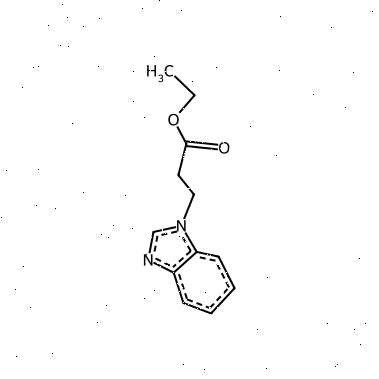 CCOC(=O)CCn1cnc2ccccc21